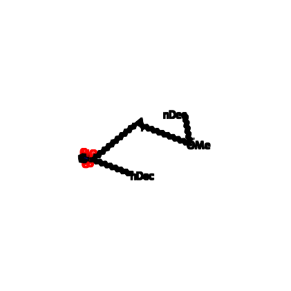 CCCCCCCCCCCCCCCCCCCCCCCCC(C(=O)ON1C(=O)CCC1=O)[C@H](O)CCCCCCCCCCCCCCCCCC[C@@H]1CC1[C@@H](C)CCCCCCCCCCCCCCCC[C@H](OC)[C@@H](C)CCCCCCCCCCCCCCCCCC